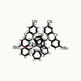 CC(C)(C)c1ccc2c(c1)Oc1cc(C#N)ccc1N2c1c(C#N)c(N2c3ccc(C#N)cc3Oc3cc(C(C)(C)C)ccc32)c(P(=O)(c2ccccc2)c2ccccc2)c2c1C1CCC2N1c1ccccc1